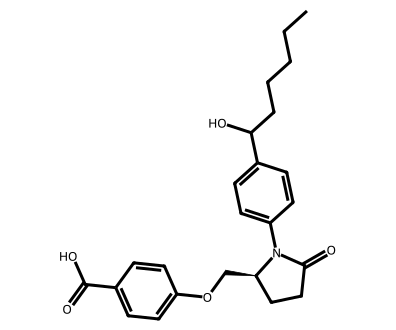 CCCCCC(O)c1ccc(N2C(=O)CC[C@H]2COc2ccc(C(=O)O)cc2)cc1